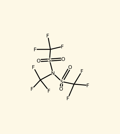 O=S(=O)(N(C(F)(F)F)S(=O)(=O)C(F)(F)F)C(F)(F)F